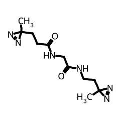 CC1(CCNC(=O)CNC(=O)CCC2(C)N=N2)N=N1